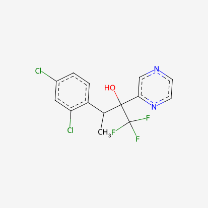 CC(c1ccc(Cl)cc1Cl)C(O)(c1cnccn1)C(F)(F)F